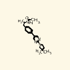 CC(=O)NC(C)Cc1ccc(-c2cnc(N3CCC(C)(C)C3)nc2)cc1